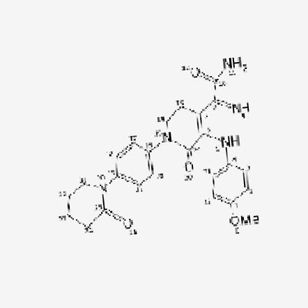 COc1ccc(NC2=C(C(=N)C(N)=O)CCN(c3ccc(N4CCCCC4=O)cc3)C2=O)cc1